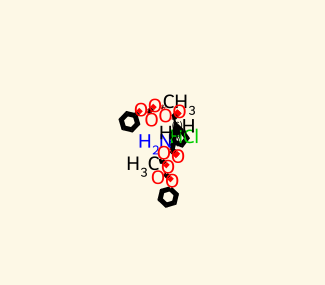 CC(OC(=O)OC1CCCCC1)OC(=O)[C@H]1[C@@H]2CC[C@@](N)(C(=O)OC(C)OC(=O)OC3CCCCC3)[C@@H]21.Cl